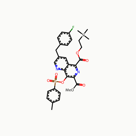 COC(=O)c1nc(C(=O)OCC[Si](C)(C)C)c2cc(Cc3ccc(F)cc3)cnc2c1OS(=O)(=O)c1ccc(C)cc1